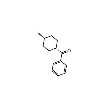 C[C@H]1CC[C@H](C(=O)c2ccccc2)CC1